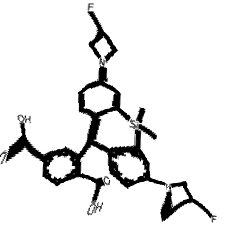 C[Si]1(C)C2=CC(=[N+]3CC(F)C3)C=CC2=C(c2cc(C(=O)O)ccc2C(=O)O)c2ccc(N3CC(F)C3)cc21